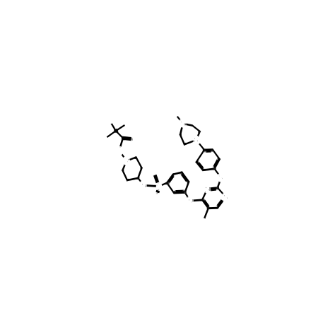 Cc1cnc(Nc2ccc(N3CCN(C)CC3)cc2)nc1Nc1cccc(S(=O)(=O)NC2CCN(OC(=O)C(C)(C)C)CC2)c1